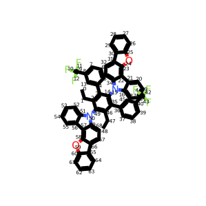 CCc1c(-c2cccc(C(F)(F)F)c2)c(-n2c3ccccc3c3c4oc5ccccc5c4ccc32)c(-c2cccc(C(F)(F)F)c2)c(CC)c1-n1c2ccccc2c2c3oc4ccccc4c3ccc21